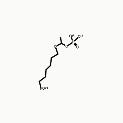 CCCCCCCCCCCCCCOC(C)OP(=O)(O)O